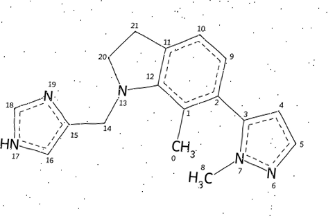 Cc1c(-c2ccnn2C)ccc2c1N(Cc1c[nH]cn1)CC2